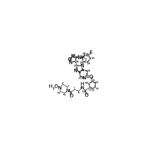 CN1CCN(C(=O)CCNC(=O)c2cccc(Oc3cc4c(cn3)nc(-c3nonc3N)n4-c3ccc(F)cc3)c2)CC1